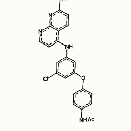 CCCc1ccc2c(Nc3cc(Cl)cc(Oc4ccc(NC(C)=O)cc4)c3)ccnc2n1